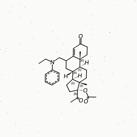 CCN(CC1C[C@@H]2[C@H](CC[C@@]3(C)[C@H]2CC[C@]3(OC(C)=O)C(C)=O)[C@@]2(C)CCC(=O)C=C12)c1ccccc1